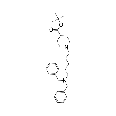 CC(C)(C)OC(=O)C1CCN(CCCCCN(Cc2ccccc2)Cc2ccccc2)CC1